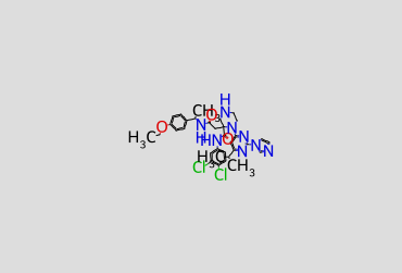 CCOc1ccc(C(C)NC(=O)CC2(C(=O)Nc3ccc(Cl)c(Cl)c3)CNCCN2c2cc(C(C)C)nc(-n3ccnc3)n2)cc1